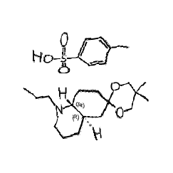 CCCN1CCC[C@@H]2CC3(CC[C@H]21)OCC(C)(C)CO3.Cc1ccc(S(=O)(=O)O)cc1